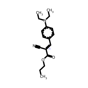 CCCOC(=O)/C(C#N)=C/c1ccc(N(CC)CC)cc1